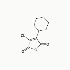 O=C1OC(=O)C(C2CCCCC2)=C1Cl